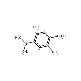 CN(C)c1ccc(C(=O)O)c([N+](=O)[O-])c1.Cl